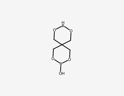 OB1OCC2(COBOC2)CO1